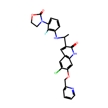 CC(Nc1cccc(N2CCOC2=O)c1F)c1cc2cc(Cl)c(OCc3ccccn3)cc2[nH]c1=O